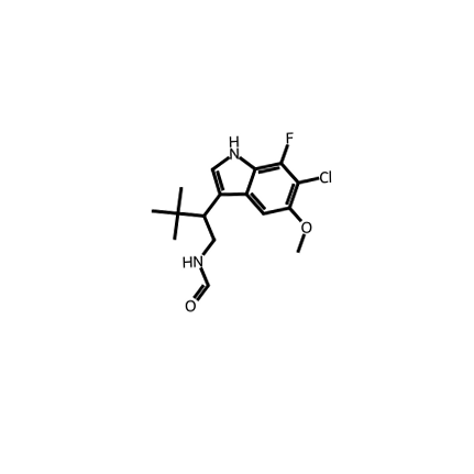 COc1cc2c(C(CNC=O)C(C)(C)C)c[nH]c2c(F)c1Cl